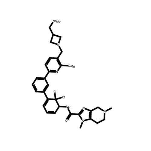 COc1nc(-c2cccc(C3=CC=CC(NC(=O)c4nc5c(n4C)CCN(C)C5)C3(Cl)Cl)c2)ccc1CN1CC(CNC(C)=O)C1